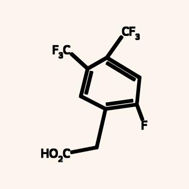 O=C(O)Cc1cc(C(F)(F)F)c(C(F)(F)F)cc1F